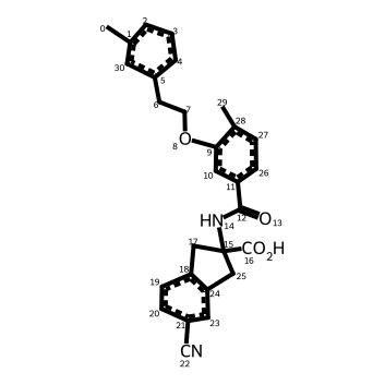 Cc1cccc(CCOc2cc(C(=O)NC3(C(=O)O)Cc4ccc(C#N)cc4C3)ccc2C)c1